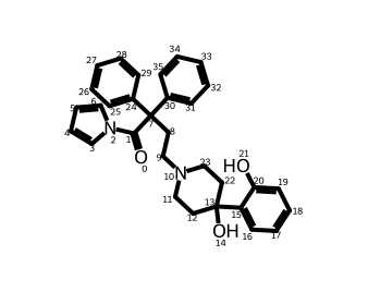 O=C(n1cccc1)C(CCN1CCC(O)(c2ccccc2O)CC1)(c1ccccc1)c1ccccc1